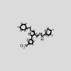 O=[N+]([O-])c1ccc(-c2nn(Cc3ccccc3)cc2/C=N/Nc2ccccn2)o1